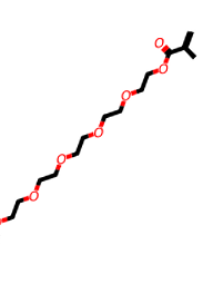 C=C(C)C(=O)OCCOCCOCCOCCOCCOCC